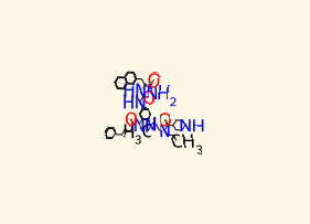 CCCN(CCN(C)c1ccc(NC(=O)NC(Cc2ccc3ccccc3c2)C(N)=O)cc1NC(=O)CCCc1ccccc1)C(=O)C1CCNCC1